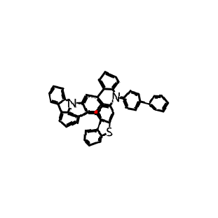 c1ccc(-c2ccc(N(c3ccc4c(c3)sc3ccccc34)c3ccccc3-c3ccc4c5cccc6c7ccccc7n(c4c3)c65)cc2)cc1